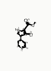 COC(=O)c1[nH]cc(-c2ccncc2)c1Cl